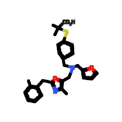 Cc1ccccc1Cc1nc(C)c(CN(Cc2ccc(SC(C)(C)C(=O)O)cc2)Cc2ccco2)o1